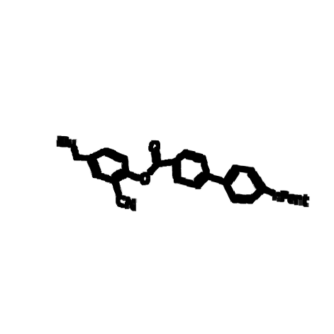 CCCCCc1ccc(-c2ccc(C(=O)Oc3ccc(CC(C)CC)cc3C#N)cc2)cc1